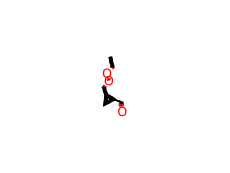 CCOOCC1C[C@@H]1C=O